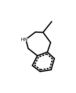 CC1CNCc2ccccc2C1